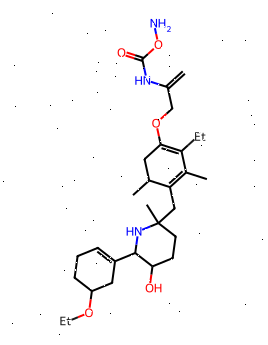 C=C(COC1=C(CC)C(C)=C(CC2(C)CCC(O)C(C3=CCCC(OCC)C3)N2)C(C)C1)NC(=O)ON